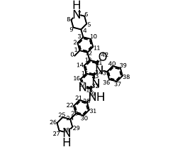 Cc1cc(C2CCNCC2)ccc1-c1cc2cnc(Nc3ccc(C4CCCNC4)cc3)nc2n(-c2ccccc2)c1=O